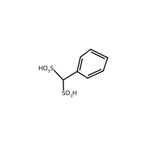 O=S(=O)(O)C(c1ccccc1)S(=O)(=O)O